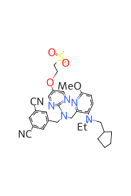 CCN(CC1CCCC1)c1ccc(OC)nc1CN(Cc1cc(C#N)cc(C#N)c1)c1ncc(OCCS(C)(=O)=O)cn1